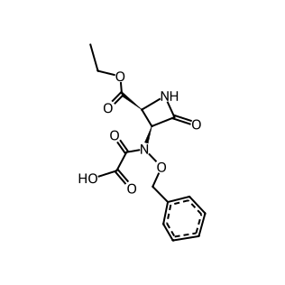 CCOC(=O)[C@H]1NC(=O)[C@H]1N(OCc1ccccc1)C(=O)C(=O)O